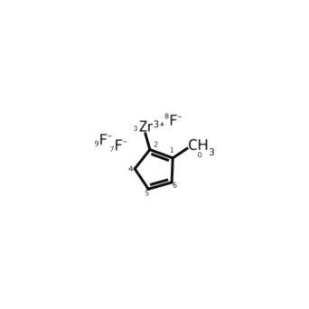 CC1=[C]([Zr+3])CC=C1.[F-].[F-].[F-]